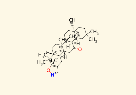 C#C[C@]12CCC(C)(C)C[C@H]1[C@H]1C(=O)C[C@@H]3[C@@]4(C)Cc5cnoc5C(C)(C)[C@@H]4CC[C@@]3(C)[C@]1(C)CC2